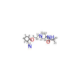 N#Cc1ccccc1OCCCN1CCC(NC(=O)C2CC2)CC1